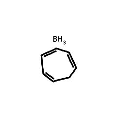 B.C1=CC=CCC=C1